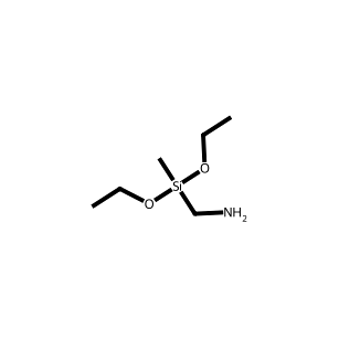 CCO[Si](C)(CN)OCC